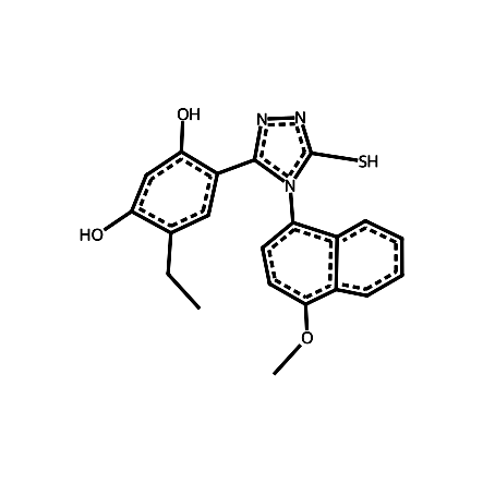 CCc1cc(-c2nnc(S)n2-c2ccc(OC)c3ccccc23)c(O)cc1O